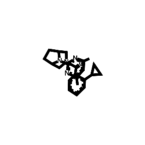 Cc1cc(C)nc(N2C3CCC2CN(C(=O)c2ccccc2C2CC2)C3)n1